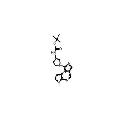 CC(C)(C)OC(=O)NC1CCN(c2ncc3cnc4[nH]ccc4n23)C1